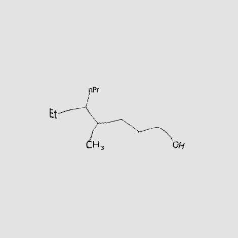 CCCC(CC)C(C)CCCO